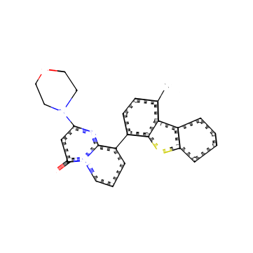 O=c1cc(N2CCOCC2)nc2c(-c3ccc([N+](=O)[O-])c4c3sc3ccccc34)cccn12